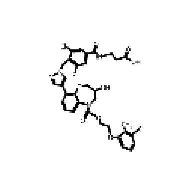 Cc1c(Cl)cccc1OCCOC(=O)N1CC(O)COc2c(-c3cnn(Cc4c(F)cc(C(=O)NCCC(=O)O)cc4Cl)c3)cccc21